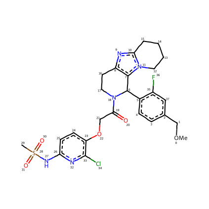 COCc1ccc(C2c3c(nc4n3CCCC4)CCN2C(=O)COc2ccc(NS(C)(=O)=O)nc2Cl)c(F)c1